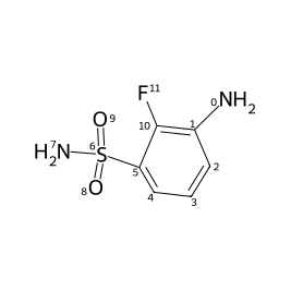 Nc1cccc(S(N)(=O)=O)c1F